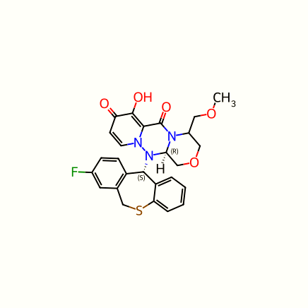 COCC1COC[C@@H]2N1C(=O)c1c(O)c(=O)ccn1N2[C@H]1c2ccc(F)cc2CSc2ccccc21